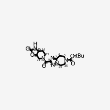 CC(C)(C)OC(=O)N1CCc2nc(C(=O)N3CCC4NC(=O)OC4C3)nn2CC1